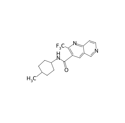 CC1CCC(NC(=O)c2cc3cnccc3nc2C(F)(F)F)CC1